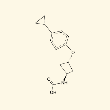 O=C(O)N[C@H]1C[C@H](Oc2ccc(C3CC3)cc2)C1